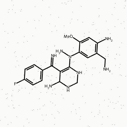 COc1cc(N)c(CN)cc1N(N)C1=C(C(=N)c2ccc(F)cc2)C(N)NCN1